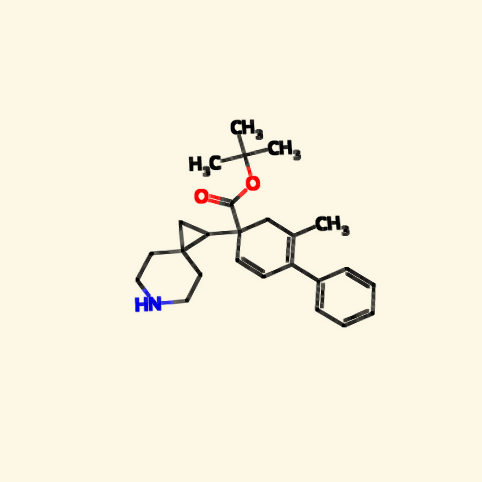 CC1=C(c2ccccc2)C=CC(C(=O)OC(C)(C)C)(C2CC23CCNCC3)C1